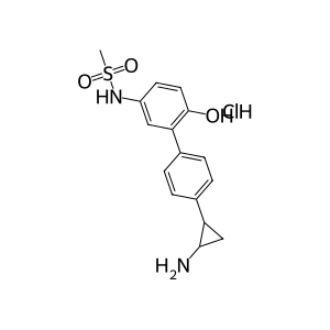 CS(=O)(=O)Nc1ccc(O)c(-c2ccc(C3CC3N)cc2)c1.Cl